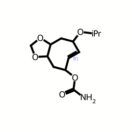 CC(C)OC1/C=C/C(OC(N)=O)CC2OCOC2C1